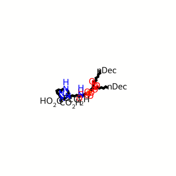 CCCCCCCCCCCCCCCC(=O)OCC(COP(=O)(O)OCCNC(=O)CCCC(C(=O)O)N1CCNCc2cccc(n2)CN(C(C(=O)O)C(=O)O)CC1)OC(=O)CCCCCCCCCCCCCCC